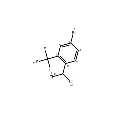 FC(F)(F)c1cc(Br)ccc1C(Cl)Cl